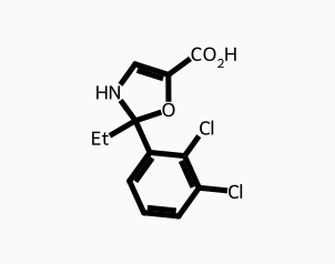 CCC1(c2cccc(Cl)c2Cl)NC=C(C(=O)O)O1